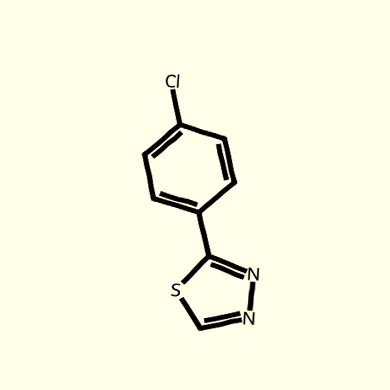 Clc1ccc(-c2nncs2)cc1